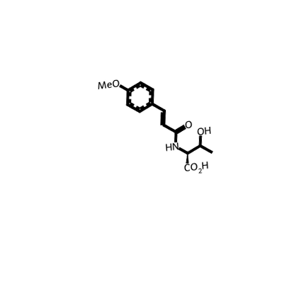 COc1ccc(/C=C/C(=O)N[C@H](C(=O)O)C(C)O)cc1